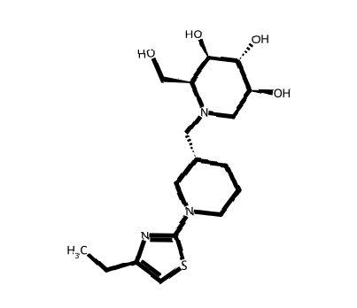 CCc1csc(N2CCC[C@@H](CN3C[C@H](O)[C@@H](O)[C@H](O)[C@@H]3CO)C2)n1